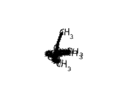 CCCCCCCCCCCCOC(=O)CCC(=O)N(CC(CCCCCCCC)CCCCCCCCCC)C(C(=O)NC1CCCCCC1)C1CCCN(CC)C1